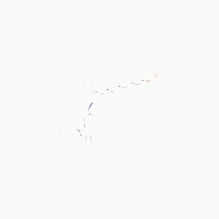 CC(C)CCC/C=C/CC(C)CCCCCCCC[C]=O